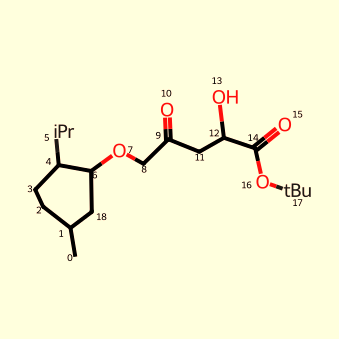 CC1CCC(C(C)C)C(OCC(=O)CC(O)C(=O)OC(C)(C)C)C1